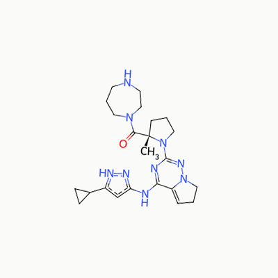 C[C@@]1(C(=O)N2CCCNCC2)CCCN1C1=NN2CCC=C2C(Nc2cc(C3CC3)[nH]n2)=N1